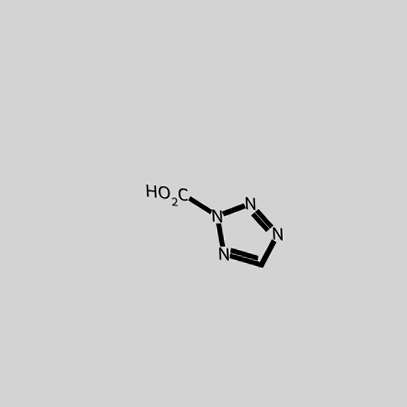 O=C(O)n1ncnn1